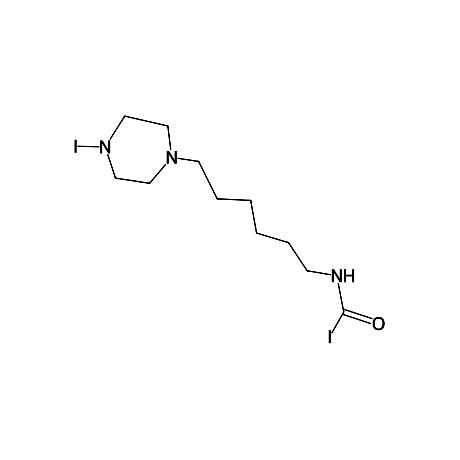 O=C(I)NCCCCCCN1CCN(I)CC1